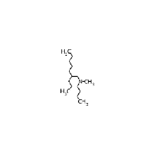 CCCCCC(CCC)CN(C)CCCC